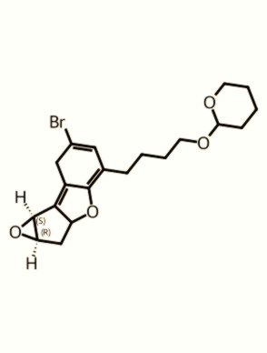 BrC1=CC(CCCCOC2CCCCO2)=C2OC3C[C@H]4O[C@H]4C3=C2C1